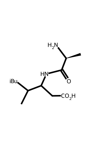 CCC(C)C(C)C(CC(=O)O)NC(=O)[C@H](C)N